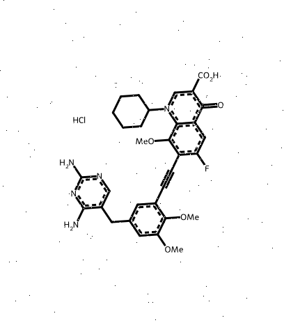 COc1cc(Cc2cnc(N)nc2N)cc(C#Cc2c(F)cc3c(=O)c(C(=O)O)cn(C4CCCCC4)c3c2OC)c1OC.Cl